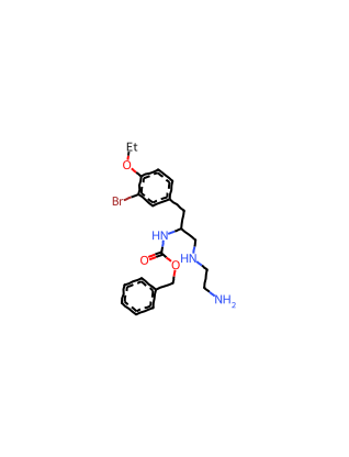 CCOc1ccc(CC(CNCCN)NC(=O)OCc2ccccc2)cc1Br